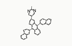 Cc1ncc(-c2ccc3c(-c4ccc5ccccc5c4)c4ccccc4c(-c4ccc5ccccc5c4)c3c2)cn1